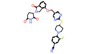 N#Cc1ccc(N2CCC(Sc3ncc(COc4cccc5c4CN([C@H]4CCC(=O)NC4=O)C5=O)cn3)CC2)c(F)c1